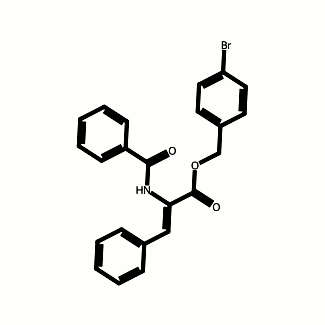 O=C(OCc1ccc(Br)cc1)/C(=C/c1ccccc1)NC(=O)c1ccccc1